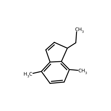 CCC1C=Cc2c(C)ccc(C)c21